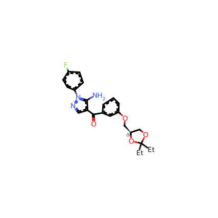 CCC1(CC)OC[C@H](COc2cccc(C(=O)c3cnn(-c4ccc(F)cc4)c3N)c2)O1